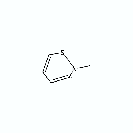 CN1[C]=CC=CS1